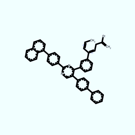 C=C(CC)C/C=C(\C=C/C)c1cccc(-c2nc(-c3ccc(-c4cccc5ccccc45)cc3)ncc2-c2ccc(-c3ccccc3)cc2)c1